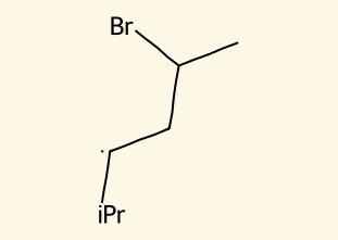 CC(C)[CH]CC(C)Br